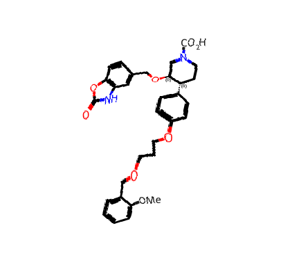 COc1ccccc1COCCCOc1ccc([C@H]2CCN(C(=O)O)C[C@@H]2OCc2ccc3oc(=O)[nH]c3c2)cc1